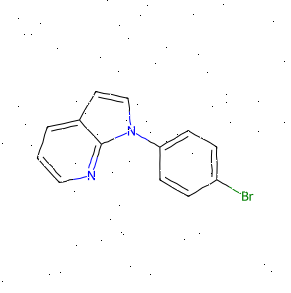 Brc1ccc(-n2ccc3cccnc32)cc1